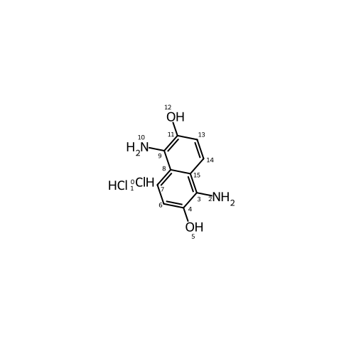 Cl.Cl.Nc1c(O)ccc2c(N)c(O)ccc12